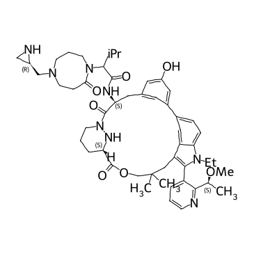 CCn1c(-c2cccnc2[C@H](C)OC)c2c3cc(ccc31)-c1cc(O)cc(c1)C[C@H](NC(=O)C(C(C)C)N1CCCN(C[C@H]3CN3)CCC1=O)C(=O)N1CCC[C@H](N1)C(=O)OCC(C)(C)C2